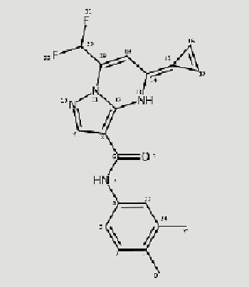 Cc1ccc(NC(=O)c2cnn3c2NC(=C2C=C2)C=C3C(F)F)cc1C